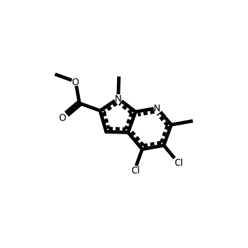 COC(=O)c1cc2c(Cl)c(Cl)c(C)nc2n1C